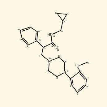 COc1ccccc1N1CCN(CC(C(=O)NCC2CC2)c2ccccc2)CC1